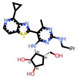 Cc1nc(NCC(C)C)nc(N[C@@H]2[C@H](CO)C[C@@H](O)[C@H]2O)c1-c1nc2c(C3CC3)nccc2s1